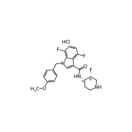 COc1ccc(Cn2cc(C(=O)N[C@H]3CCNC[C@H]3F)c3c(F)ccc(F)c32)cc1.Cl